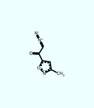 Cc1cc(C(=O)C=[N+]=[N-])on1